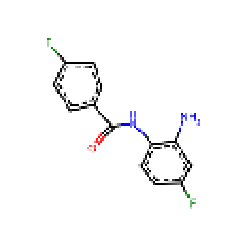 Nc1cc(F)ccc1NC(=O)c1ccc(F)cc1